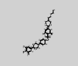 CCCCCC1COC(c2cc(F)c(C(F)(F)Oc3ccc(C4COC(c5cc(F)c(F)c(F)c5)OC4)cc3)c(F)c2)OC1